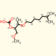 COCC(OC(=O)O)C(C)OCCCCCC(C)C